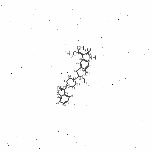 CC(C)=C1C(=O)Nc2cc(Cl)c(CC(C)N3CCN(c4nsc5ccccc45)CC3)cc21